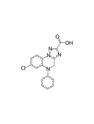 O=C(O)c1nc2n(n1)-c1ccc(Cl)cc1N(c1ccccc1)C2